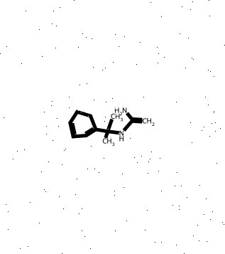 C=C(N)NC(C)(C)C1=CC=CCC1